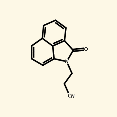 N#CCCN1C(=O)c2cccc3cccc1c23